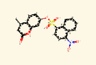 Cc1cc(=O)oc2cc(OS(=O)(=O)c3ccc([N+](=O)[O-])c4ccccc34)ccc12